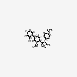 COc1ccc(-n2c(C)nnc2-c2ccc(-c3ccccc3C)cc2OC)cc1